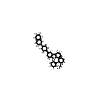 c1ccc2c(c1)COc1cccc(-n3c4ccccc4c4cc(-c5ccc(-c6ccc7ccccc7c6)cc5)ccc43)c1-2